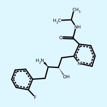 CC(C)NC(=O)c1cccnc1C[C@H](O)[C@H](N)Cc1ccccc1F